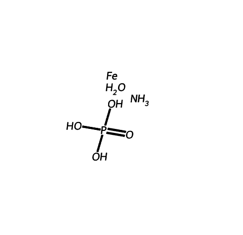 N.O.O=P(O)(O)O.[Fe]